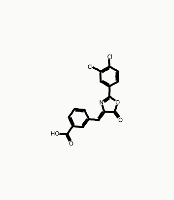 O=C1OC(c2ccc(Cl)c(Cl)c2)=NC1=Cc1cccc(C(=O)O)c1